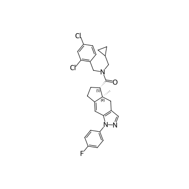 C[C@]12Cc3cnn(-c4ccc(F)cc4)c3C=C1CC[C@@H]2C(=O)N(Cc1ccc(Cl)cc1Cl)CC1CC1